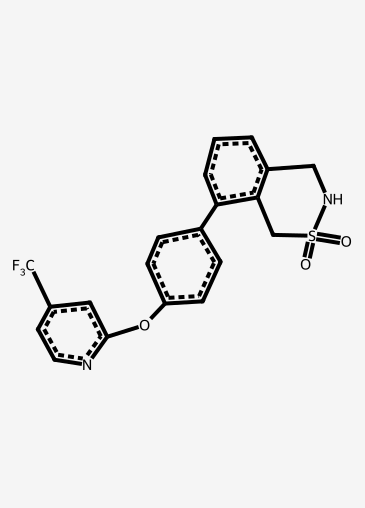 O=S1(=O)Cc2c(cccc2-c2ccc(Oc3cc(C(F)(F)F)ccn3)cc2)CN1